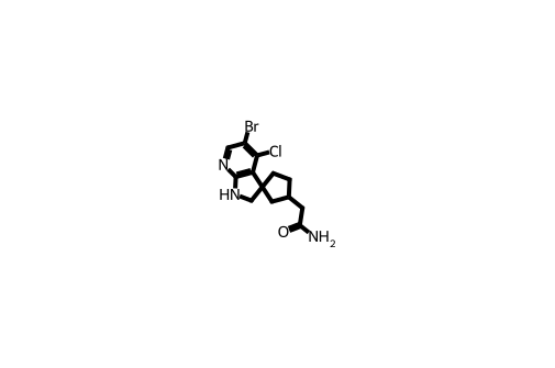 NC(=O)CC1CCC2(CNc3ncc(Br)c(Cl)c32)C1